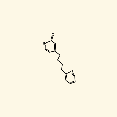 O=c1cc(CCCCc2ccccn2)cc[nH]1